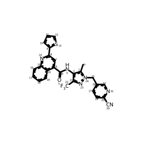 Cc1c(NC(=O)c2cc(-c3cccs3)nc3ccccc23)c(C(F)(F)F)nn1Cc1ccc(C#N)nc1